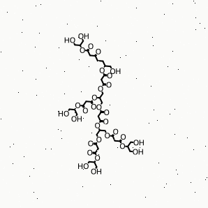 O=C(CCC(CO)OC(=O)CC(=O)OCC(COC(=O)CC(=O)OC(COC(=O)CC(=O)OC(CO)CO)COC(=O)CC(=O)OC(CO)CO)OC(=O)CC(=O)OC(CO)CO)CC(=O)OC(CO)CO